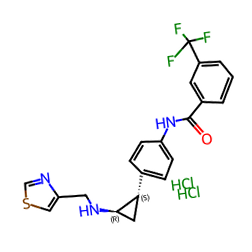 Cl.Cl.O=C(Nc1ccc([C@@H]2C[C@H]2NCc2cscn2)cc1)c1cccc(C(F)(F)F)c1